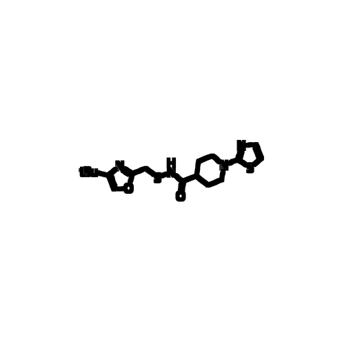 CC(C)(C)c1coc(CSNC(=O)C2CCN(c3nccs3)CC2)n1